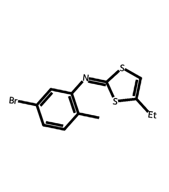 CCc1csc(=Nc2cc(Br)ccc2C)s1